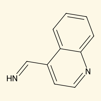 N=Cc1ccnc2ccccc12